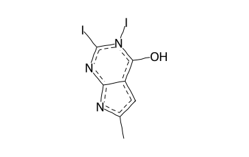 Cc1cc2c(O)n(I)c(I)nc-2n1